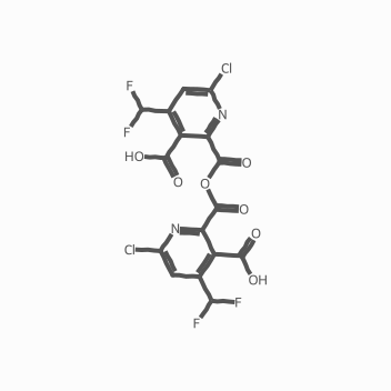 O=C(OC(=O)c1nc(Cl)cc(C(F)F)c1C(=O)O)c1nc(Cl)cc(C(F)F)c1C(=O)O